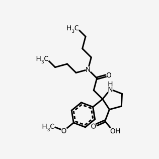 CCCCN(CCCC)C(=O)CC1(c2ccc(OC)cc2)NCCC1C(=O)O